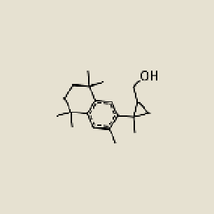 Cc1cc2c(cc1C1(C)CC1CO)C(C)(C)CCC2(C)C